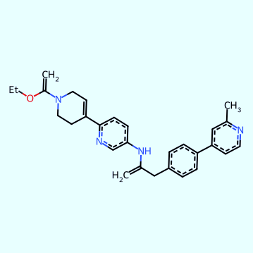 C=C(Cc1ccc(-c2ccnc(C)c2)cc1)Nc1ccc(C2=CCN(C(=C)OCC)CC2)nc1